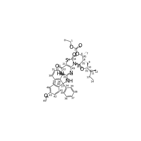 CCOC(=O)O[C@H](C)[C@@H]1C[C@@H]([C@@H](C)CC)O[C@H]1n1c(=O)sc2c(=O)[nH]c(NC(c3ccccc3)(c3ccccc3)c3ccc(OC)cc3)nc21